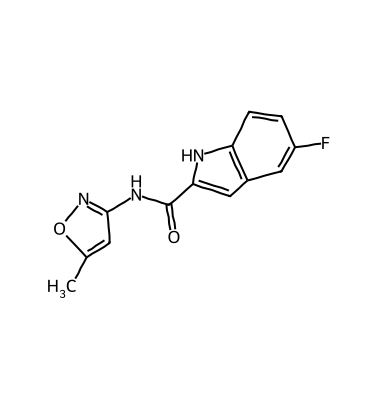 Cc1cc(NC(=O)c2cc3cc(F)ccc3[nH]2)no1